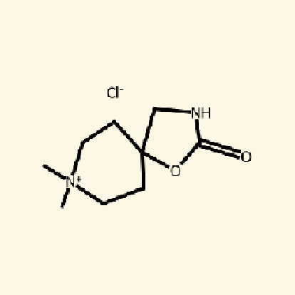 C[N+]1(C)CCC2(CC1)CNC(=O)O2.[Cl-]